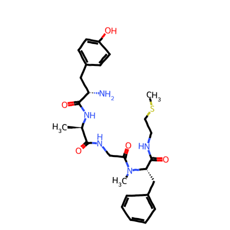 CSCCNC(=O)[C@H](Cc1ccccc1)N(C)C(=O)CNC(=O)[C@@H](C)NC(=O)[C@@H](N)Cc1ccc(O)cc1